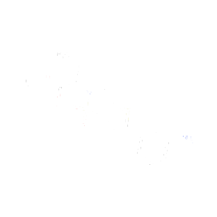 CCC(C(=O)OC)N1Cc2sc(-c3cccc(N)c3)cc2S1(=O)=O